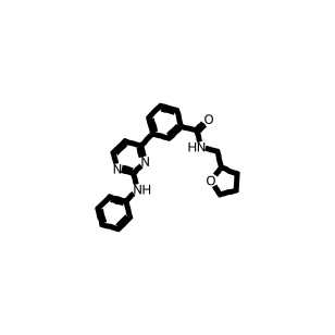 O=C(NCC1CCCO1)c1cccc(-c2ccnc(Nc3ccccc3)n2)c1